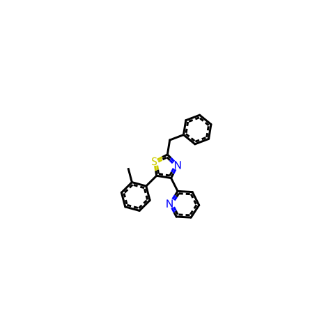 Cc1ccccc1-c1sc(Cc2ccccc2)nc1-c1ccccn1